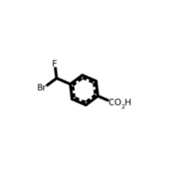 O=C(O)c1ccc(C(F)Br)cc1